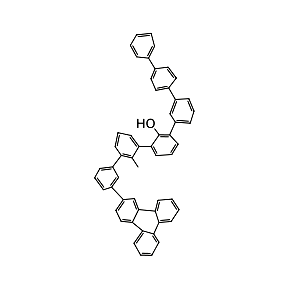 Cc1c(-c2cccc(-c3ccc4c5ccccc5c5ccccc5c4c3)c2)cccc1-c1cccc(-c2cccc(-c3ccc(-c4ccccc4)cc3)c2)c1O